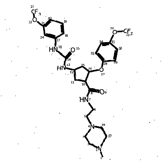 CN1CCN(CCNC(=O)C2CC(NC(=O)Nc3cccc(OC(F)(F)F)c3)CC2Oc2ccc(OC(F)(F)F)cc2)CC1